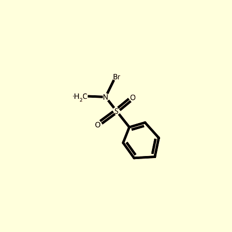 [CH2]N(Br)S(=O)(=O)c1ccccc1